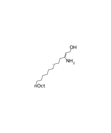 CCCCCCCCCCCCCC[CH]CCC(N)=CCO